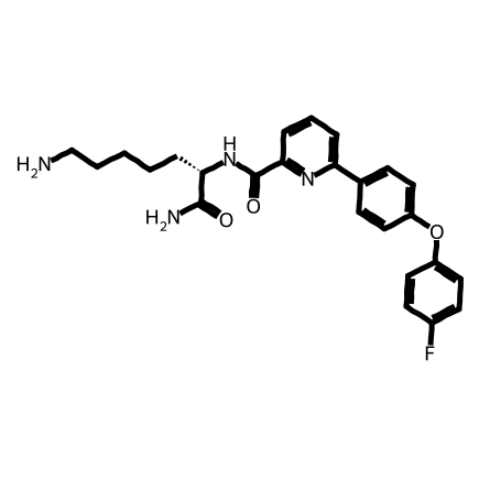 NCCCCC[C@H](NC(=O)c1cccc(-c2ccc(Oc3ccc(F)cc3)cc2)n1)C(N)=O